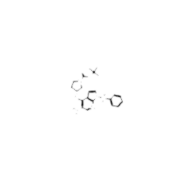 CC(C)(C)OC(=O)N1C[C@@H](F)[C@H](Nc2c([N+](=O)[O-])cnc3c2ccn3S(=O)(=O)c2ccccc2)C1